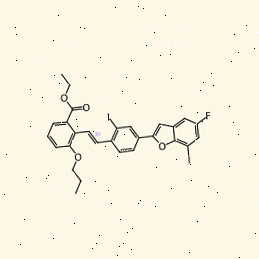 CCCOc1cccc(C(=O)OCC)c1/C=C/c1ccc(-c2cc3cc(F)cc(I)c3o2)cc1I